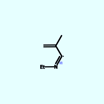 C=C(C)/[C]=N\CC